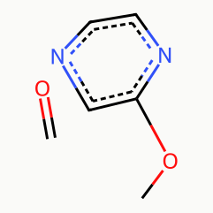 C=O.COc1cnccn1